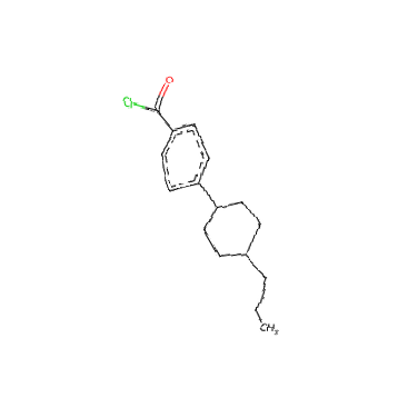 CCCC1CCC(c2ccc(C(=O)Cl)cc2)CC1